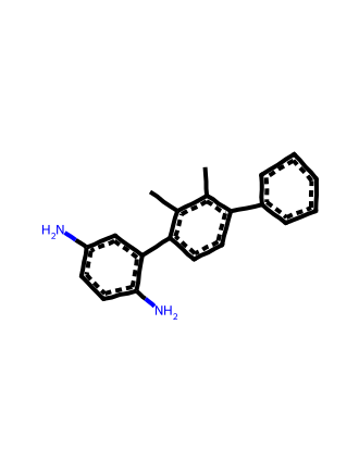 Cc1c(-c2ccccc2)ccc(-c2cc(N)ccc2N)c1C